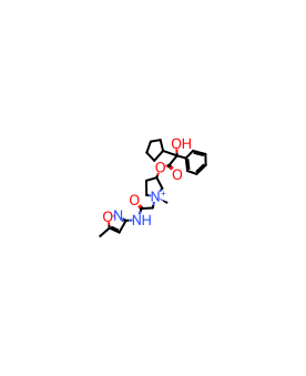 Cc1cc(NC(=O)C[N@+]2(C)CCC(OC(=O)C(O)(c3ccccc3)C3CCCC3)C2)no1